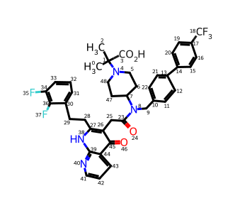 CC(C)(C(=O)O)N1CCC(N(Cc2ccc(-c3ccc(C(F)(F)F)cc3)cc2)C(=O)Cc2c(CCc3cccc(F)c3F)[nH]c3ncccc3c2=O)CC1